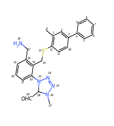 Cc1cc(-c2ccccc2)ccc1SCc1c(CN)cccc1N1N=NN(C)C1C=O